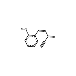 C#CC(=C)/C=C\c1ccccc1NC